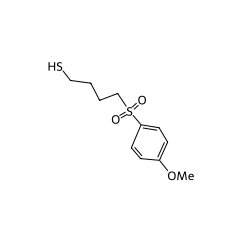 COc1ccc(S(=O)(=O)CCCCS)cc1